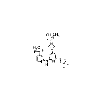 CCC(CC)N1CC(c2cc(Nc3cc(C(C)(F)F)ccn3)nc(N3CCC(F)(F)C3)c2)C1